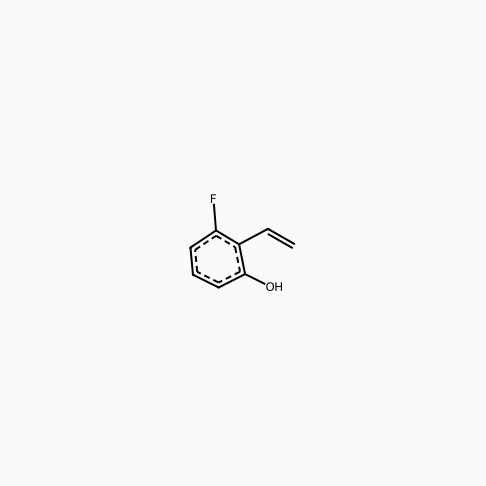 C=Cc1c(O)cccc1F